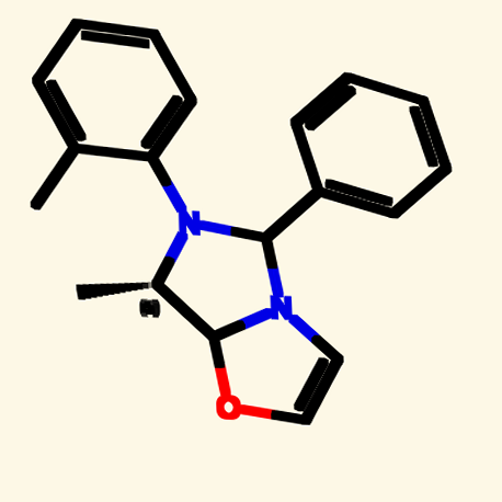 Cc1ccccc1N1C(c2ccccc2)N2C=COC2[C@@H]1C